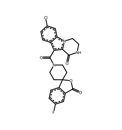 O=C1OC2(CCN(C(=O)c3c4n(c5cc(Cl)ccc35)CCNC4=O)CC2)c2ccc(F)cc21